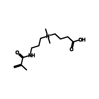 C=C(C)C(=O)NCCC[N+](C)(C)CCCC(=O)O